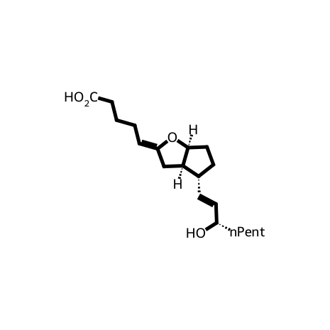 CCCCC[C@H](O)/C=C/[C@H]1CC[C@@H]2O/C(=C\CCCC(=O)O)C[C@@H]21